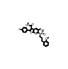 CNC(=O)c1c(-c2ccc(F)cc2)oc2nc(N(CCCc3ccccc3OC)[SH](=O)=O)c(I)cc12